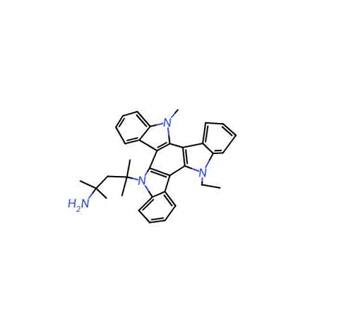 CCn1c2ccccc2c2c3c(c4ccccc4n3C)c3c(c4ccccc4n3C(C)(C)CC(C)(C)N)c21